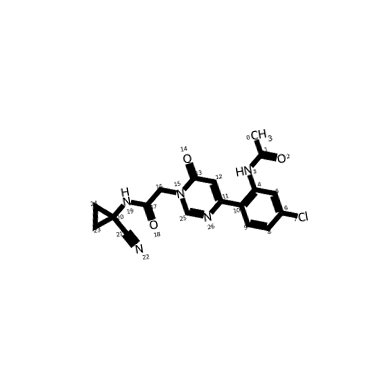 CC(=O)Nc1cc(Cl)ccc1-c1cc(=O)n(CC(=O)NC2(C#N)CC2)cn1